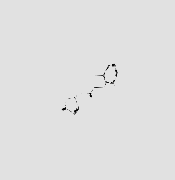 O=C1C=CC(OC(=O)COc2c(Cl)cccc2Cl)O1